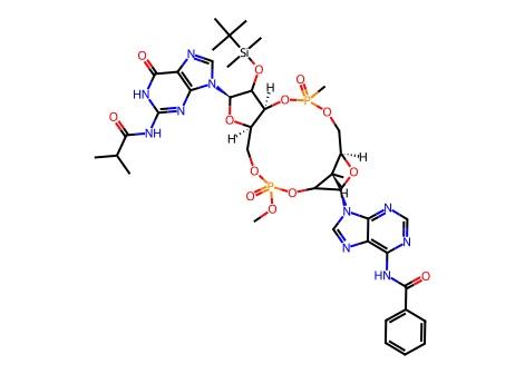 COP1(=O)OC[C@H]2O[C@@H](n3cnc4c(=O)[nH]c(NC(=O)C(C)C)nc43)C(O[Si](C)(C)C(C)(C)C)[C@H]2OP(C)(=O)OC[C@H]2O[C@@H](n3cnc4c(NC(=O)c5ccccc5)ncnc43)C(O1)[C@H]2C